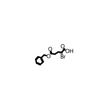 O=C(CC[C@@H](Br)C(=O)O)OCc1ccccc1